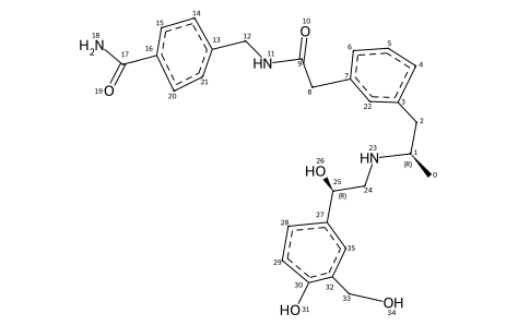 C[C@H](Cc1cccc(CC(=O)NCc2ccc(C(N)=O)cc2)c1)NC[C@H](O)c1ccc(O)c(CO)c1